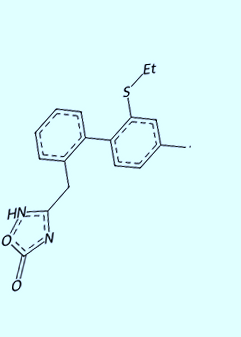 [CH2]c1ccc(-c2ccccc2Cc2nc(=O)o[nH]2)c(SCC)c1